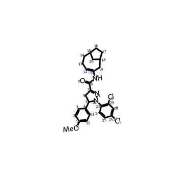 COc1ccc(C2CC(C(=O)N/C3=C/CCC4CCC(C3)C4)=NN2c2ccc(Cl)cc2Cl)cc1